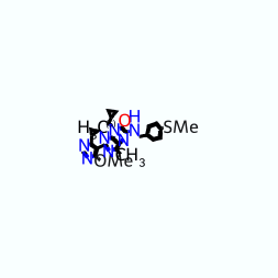 COc1ncnc(C2CC2)c1-c1nc(C)c2nc(NCc3ccc(SC)cc3)c(=O)n([C@@H](C)C3CC3)c2n1